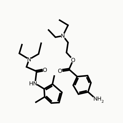 CCN(CC)CC(=O)Nc1c(C)cccc1C.CCN(CC)CCOC(=O)c1ccc(N)cc1